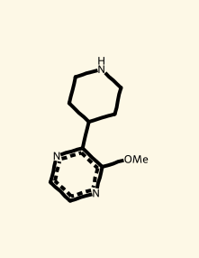 COc1nccnc1C1CCNCC1